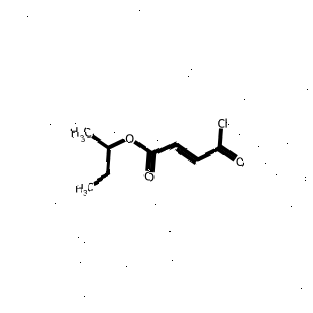 CCC(C)OC(=O)/C=C/C(=O)Cl